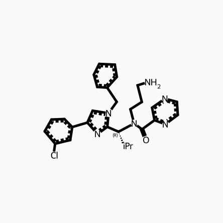 CC(C)[C@H](c1nc(-c2cccc(Cl)c2)cn1Cc1ccccc1)N(CCCN)C(=O)c1cnccn1